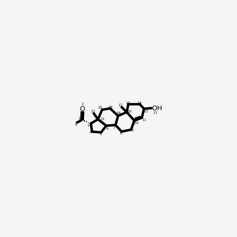 CC(=O)[C@H]1CCC2C3CCC4=CC(O)CCC4(C)C3CCC21C